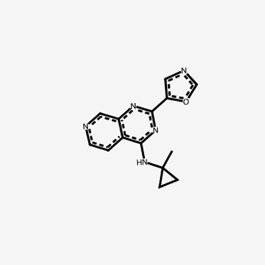 CC1(Nc2nc(-c3cnco3)nc3cnccc23)CC1